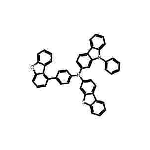 c1ccc(-n2c3ccccc3c3ccc(N(c4ccc(-c5cccc6oc7ccccc7c56)cc4)c4ccc5c(c4)sc4ccccc45)cc32)cc1